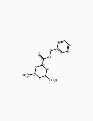 O=C(O)C1C[C@@H](C(=O)O)C[C@@H](C(=O)OCc2ccccc2)C1